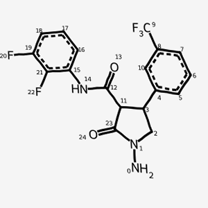 NN1CC(c2cccc(C(F)(F)F)c2)C(C(=O)Nc2cccc(F)c2F)C1=O